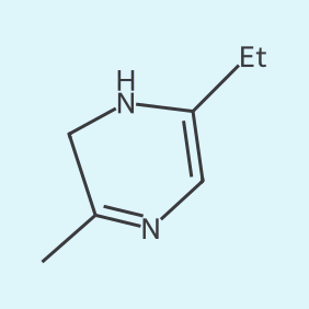 CCC1=CN=C(C)CN1